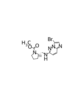 COC(=O)N1CCC[C@H]1CNc1ccc2ncc(Br)n2n1